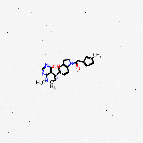 C=Nc1ncnc(O)c1/C(=C\C)c1ccc2c(c1)CCN2C(=O)Cc1cccc(C(F)(F)F)c1